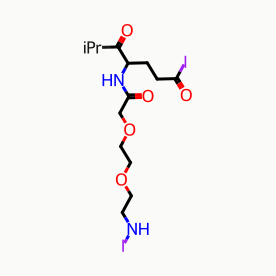 CC(C)C(=O)C(CCC(=O)I)NC(=O)COCCOCCNI